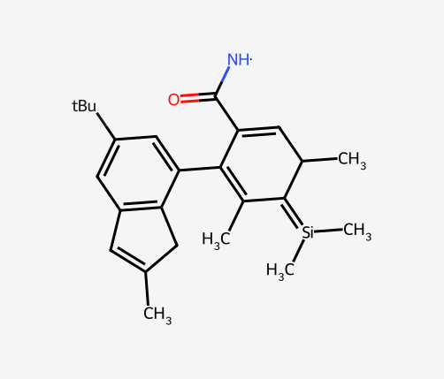 CC1=Cc2cc(C(C)(C)C)cc(C3=C(C)C(=[Si](C)C)C(C)C=C3C([NH])=O)c2C1